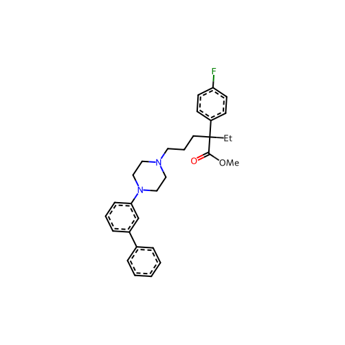 CCC(CCCN1CCN(c2cccc(-c3ccccc3)c2)CC1)(C(=O)OC)c1ccc(F)cc1